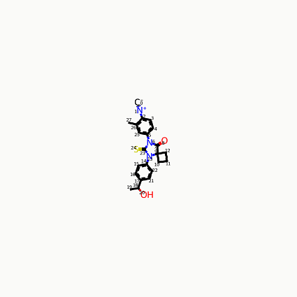 [C-]#[N+]c1ccc(N2C(=O)C3(CCC3)N(c3ccc(C(C)O)cc3)C2=S)cc1C